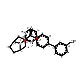 O=C(c1ccc(-c2cccc(Cl)c2)cc1)C1CC2CCC(C1)N2c1ncccn1